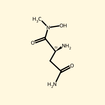 CN(O)C(=O)[C@@H](N)CC(N)=O